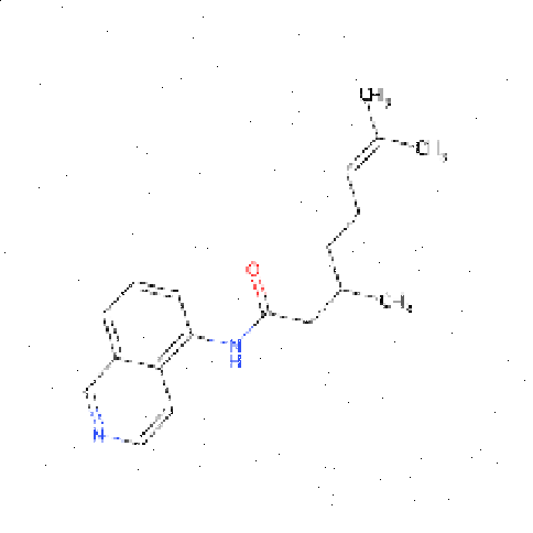 CC(C)=CCCC(C)CC(=O)Nc1cccc2cnccc12